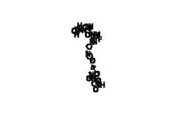 Cn1c(=O)n(C2CCC(=O)NC2=O)c2cccc([C@]34C[C@@](COC5CCN(C[C@H]6CC[C@H](n7cc(NC(=O)c8cnn9ccc(N%10C[C@H]%11C[C@@H]%10CO%11)nc89)c(C(F)F)n7)CC6)CC5)(C3)C4)c21